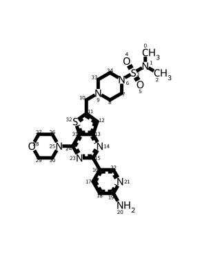 CN(C)S(=O)(=O)N1CCN(Cc2cc3nc(-c4ccc(N)nc4)nc(N4CCOCC4)c3s2)CC1